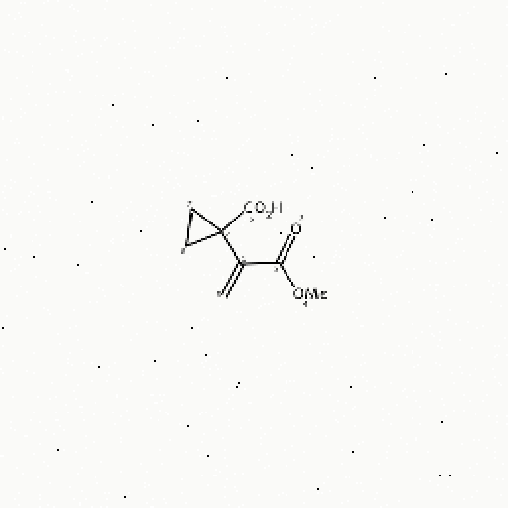 C=C(C(=O)OC)C1(C(=O)O)CC1